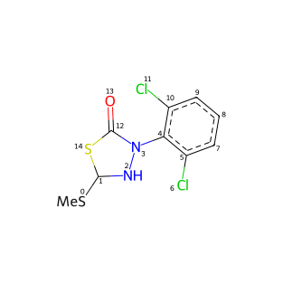 CSC1NN(c2c(Cl)cccc2Cl)C(=O)S1